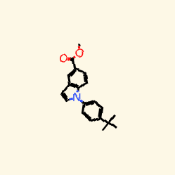 COC(=O)c1ccc2c(ccn2-c2ccc(C(C)(C)C)cc2)c1